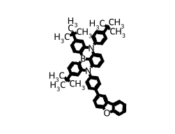 CC(C)(C)c1ccc(N2c3cc(C(C)(C)C)ccc3B3c4ccc(C(C)(C)C)cc4N(c4ccc(-c5ccc6oc7ccccc7c6c5)cc4)c4cccc2c43)cc1